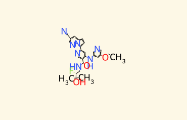 CCOc1cncc(Nc2cc(-c3ccc4cc(C#N)cnn34)ncc2C(=O)NC[C@@H](F)C(C)(C)O)c1